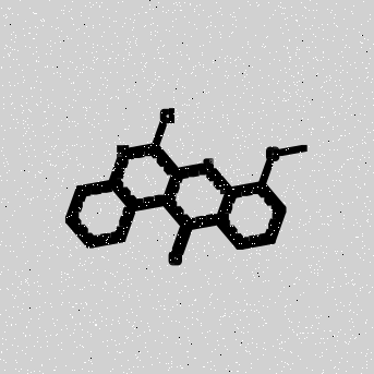 COc1cccc2c(=O)c3c(sc12)c(Cl)nc1ccccc13